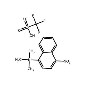 C[N+](C)(C)c1ccc([N+](=O)[O-])c2ccccc12.O=S(=O)(O)C(F)(F)F